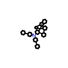 c1ccc(-c2ccc(N(c3ccc(-c4ccccc4)cc3)c3ccc4c(c3)-c3ccccc3-c3ccccc3C43c4ccccc4-c4cc5ccccc5cc43)cc2)cc1